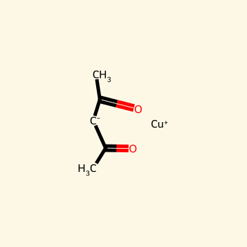 CC(=O)[CH-]C(C)=O.[Cu+]